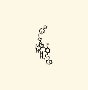 Nc1ncnc2c1c(-c1cc(OCC34CCC(CC3)O4)ccc1F)cn2C1CC(CN2CC[S+]([O-])CC2)C1